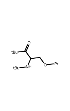 CC(C)OCC(NC(C)(C)C)C(=O)C(C)(C)C